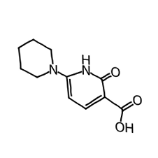 O=C(O)c1ccc(N2CCCCC2)[nH]c1=O